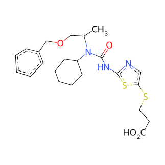 CC(COCc1ccccc1)N(C(=O)Nc1ncc(SCCC(=O)O)s1)C1CCCCC1